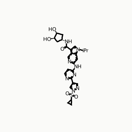 CC(C)n1cc(C(=O)N[C@@H]2C[C@@H](O)[C@@H](O)C2)c2cnc(Nc3ccnc(-c4cnn(S(=O)(=O)C5CC5)c4)n3)cc21